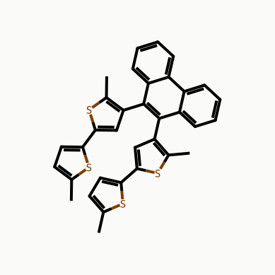 Cc1ccc(-c2cc(-c3c(-c4cc(-c5ccc(C)s5)sc4C)c4ccccc4c4ccccc34)c(C)s2)s1